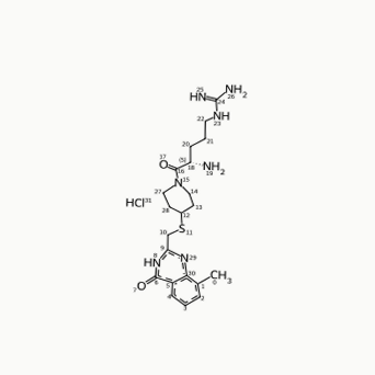 Cc1cccc2c(=O)[nH]c(CSC3CCN(C(=O)[C@@H](N)CCCNC(=N)N)CC3)nc12.Cl